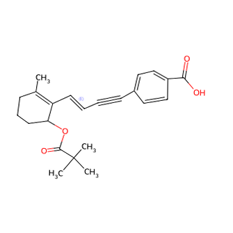 CC1=C(/C=C/C#Cc2ccc(C(=O)O)cc2)C(OC(=O)C(C)(C)C)CCC1